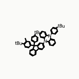 Cc1cc(C2(c3ccc(C(C)(C)C)cc3)c3ccccc3-c3ccc(N4c5ccccc5N(c5ccc(C(C)(C)C)cc5)c5ccccc54)cc32)ccc1C(C)(C)C